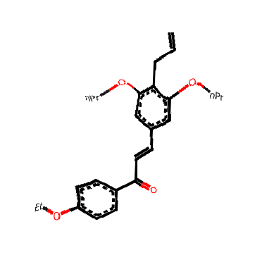 C=CCc1c(OCCC)cc(C=CC(=O)c2ccc(OCC)cc2)cc1OCCC